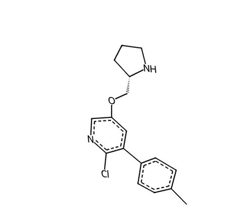 Cc1ccc(-c2cc(OC[C@@H]3CCCN3)cnc2Cl)cc1